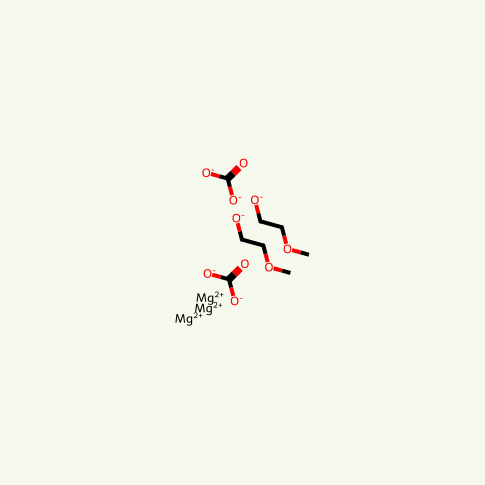 COCC[O-].COCC[O-].O=C([O-])[O-].O=C([O-])[O-].[Mg+2].[Mg+2].[Mg+2]